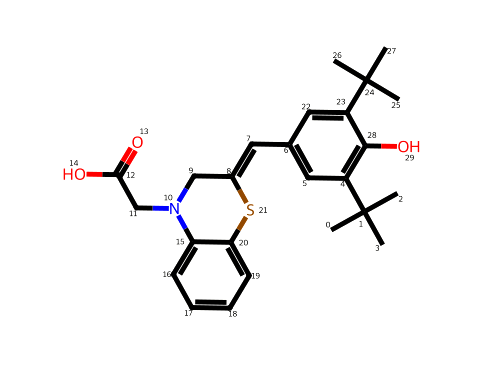 CC(C)(C)c1cc(C=C2CN(CC(=O)O)c3ccccc3S2)cc(C(C)(C)C)c1O